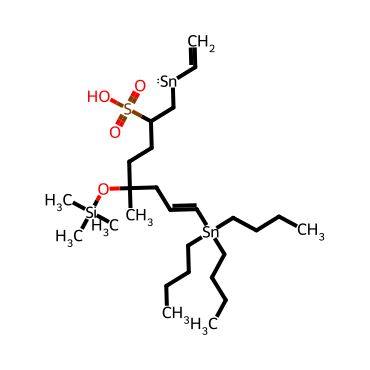 C=[CH][Sn][CH2]C(CCC(C)(CC=[CH][Sn]([CH2]CCC)([CH2]CCC)[CH2]CCC)O[Si](C)(C)C)S(=O)(=O)O